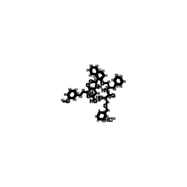 CN[C@H](COCc1ccccc1)C(=O)N[C@@H](COc1ccc2ccccc2c1C(=O)N[C@@H](CC(=O)O)C(=O)NCCc1cccc(OC)c1)Cc1ccccc1.Cl